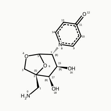 NC[C@@]12COC(O1)[C@H](n1ccc(=O)cc1)[C@@H](O)[C@H]2O